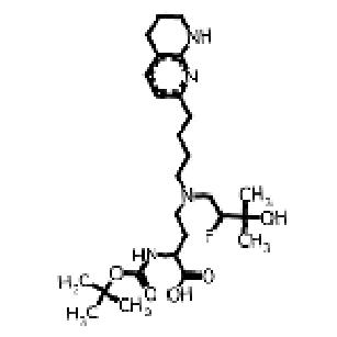 CC(C)(C)OC(=O)NC(CCN(CCCCc1ccc2c(n1)NCCC2)CC(F)C(C)(C)O)C(=O)O